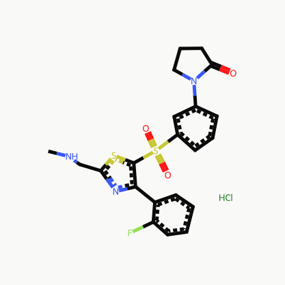 CNCc1nc(-c2ccccc2F)c(S(=O)(=O)c2cccc(N3CCCC3=O)c2)s1.Cl